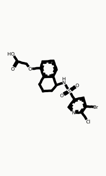 O=C(O)COc1cccc2c1CCCC2NS(=O)(=O)c1cnc(Cl)c(Br)c1